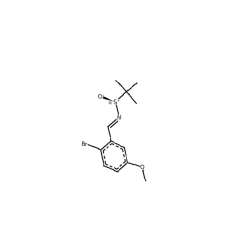 COc1ccc(Br)c(C=N[S@@+]([O-])C(C)(C)C)c1